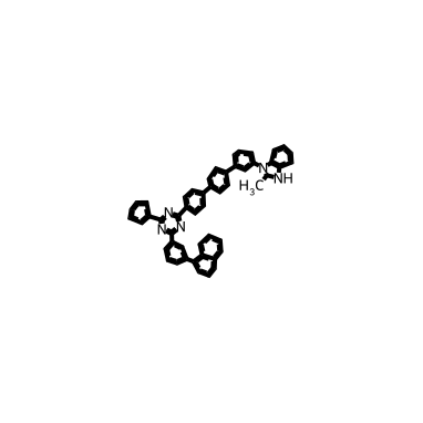 CC1Nc2ccccc2N1c1cccc(-c2ccc(-c3ccc(-c4nc(-c5ccccc5)nc(-c5cccc(-c6cccc7ccccc67)c5)n4)cc3)cc2)c1